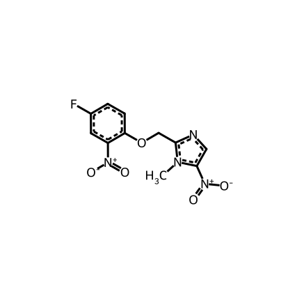 Cn1c([N+](=O)[O-])cnc1COc1ccc(F)cc1[N+](=O)[O-]